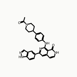 CC(=O)N1CCC(c2ccc(Nc3nc(-c4ccc5[nH]ncc5c4)cc4cc[nH]c(=O)c34)cc2)CC1